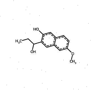 CCC(O)c1cc2cc(OC)ccc2cc1O